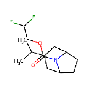 CC(C)C1CC2CCC(C1)N2C(=O)OCC(F)F